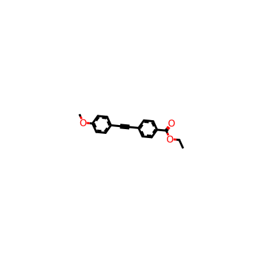 CCOC(=O)c1ccc(C#Cc2ccc(OC)cc2)cc1